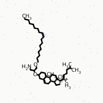 CCCCCCCC/C=C\CCCCCCCCOCC(CN)OC1CC[C@@]2(C)C(=CCC3C2CC[C@@]2(C)C3CC[C@@H]2[C@H](C)CCCC(C)C)C1